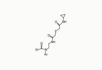 CCC(=O)N(CCNC(=O)CSCC(=O)NC1CC1)C(C)=O